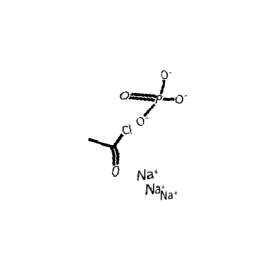 CC(=O)Cl.O=P([O-])([O-])[O-].[Na+].[Na+].[Na+]